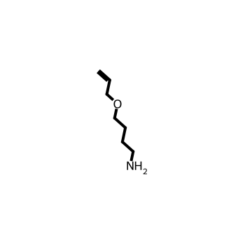 C=CCOCCCCN